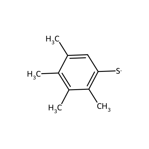 Cc1cc([S])c(C)c(C)c1C